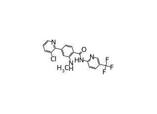 CNc1cc(-c2ncccc2Cl)ccc1C(=O)Nc1ccc(C(F)(F)F)cn1